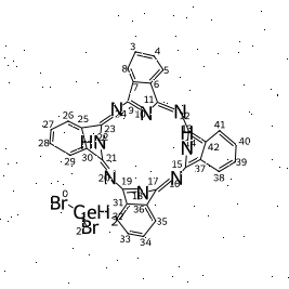 [Br][GeH2][Br].c1ccc2c(c1)-c1nc-2nc2[nH]c(nc3nc(nc4[nH]c(n1)c1ccccc41)-c1ccccc1-3)c1ccccc21